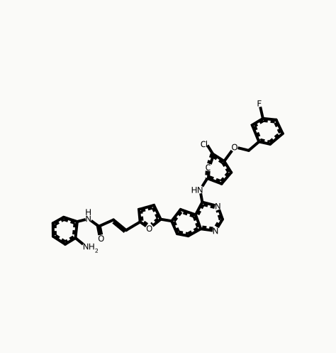 Nc1ccccc1NC(=O)C=Cc1ccc(-c2ccc3ncnc(Nc4ccc(OCc5cccc(F)c5)c(Cl)c4)c3c2)o1